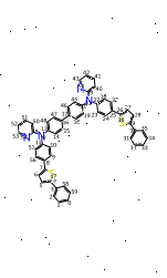 c1ccc(-c2ccc(-c3ccc(N(c4ccc(-c5ccc(N(c6ccc(-c7ccc(-c8ccccc8)s7)cc6)c6ccccn6)cc5)cc4)c4ccccn4)cc3)s2)cc1